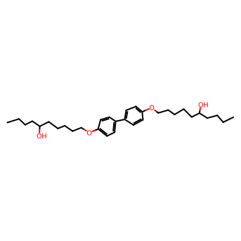 CCCCC(O)CCCCCOc1ccc(-c2ccc(OCCCCCC(O)CCCC)cc2)cc1